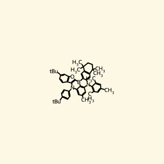 Cc1cc(C)c(N2c3cc4c(cc3B3c5oc6cc(C(C)(C)C)ccc6c5N(c5ccc(C(C)(C)C)cc5)c5cc(C)cc2c53)C(C)(C)CCC4(C)C)c(C)c1